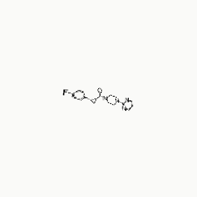 O=C(C1C[C@H]1c1ccc(F)cc1)N1CCN(c2ncccn2)CC1